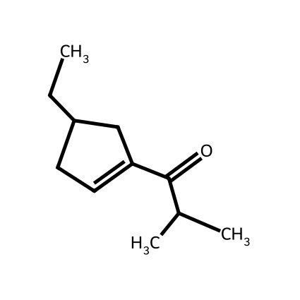 CCC1CC=C(C(=O)C(C)C)C1